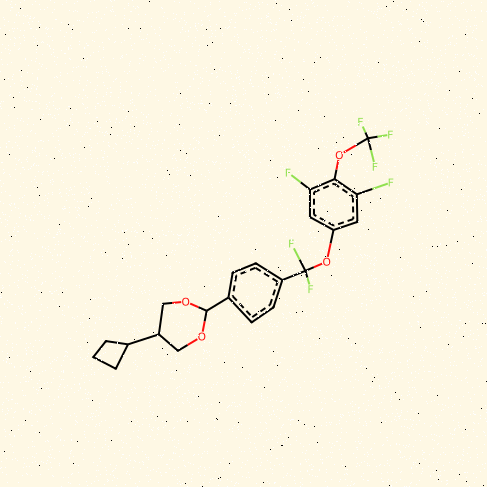 Fc1cc(OC(F)(F)c2ccc(C3OCC(C4CCC4)CO3)cc2)cc(F)c1OC(F)(F)F